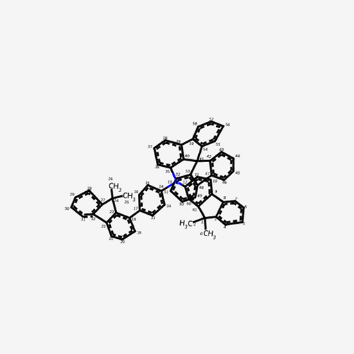 CC1(C)c2ccccc2-c2ccc(N(c3ccc(-c4cccc5c4C(C)(C)c4ccccc4-5)cc3)c3cccc4c3C3(c5ccccc5-c5ccccc53)c3ccccc3-4)cc21